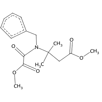 COC(=O)CC(C)(C)N(Cc1ccccc1)C(=O)C(=O)OC